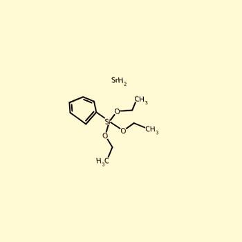 CCO[Si](OCC)(OCC)c1ccccc1.[SrH2]